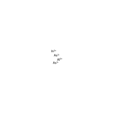 [Al+3].[As-3].[As-3].[In+3]